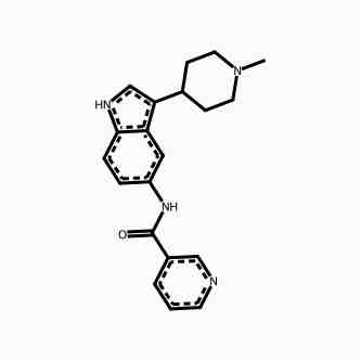 CN1CCC(c2c[nH]c3ccc(NC(=O)c4cccnc4)cc23)CC1